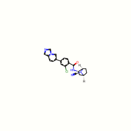 N#CN1[C@H]2CC[C@@H]1[C@H](NC(=O)c1ccc(-c3ccc4cncn4c3)cc1Cl)C2